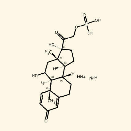 C[C@]12C=CC(=O)C=C1CC[C@@H]1[C@@H]2C(O)C[C@@]2(C)[C@H]1CC[C@]2(O)C(=O)COP(=O)(O)O.[NaH].[NaH]